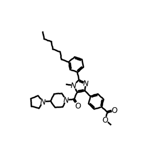 CCCCCCc1cccc(-c2nc(-c3ccc(C(=O)OC)cc3)c(C(=O)N3CCC(N4CCCC4)CC3)n2C)c1